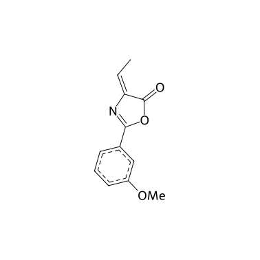 C/C=C1/N=C(c2cccc(OC)c2)OC1=O